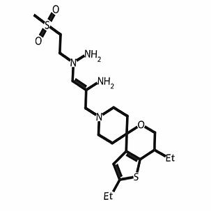 CCc1cc2c(s1)C(CC)COC21CCN(C/C(N)=C/N(N)CCS(C)(=O)=O)CC1